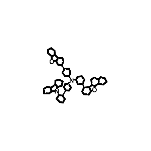 c1cc(-c2cccc3oc4c5ccccc5ccc4c23)cc(N(c2ccc(-c3ccc4c(c3)oc3ccccc34)cc2)c2ccc(-c3ccccc3-n3c4ccccc4c4ccccc43)cc2)c1